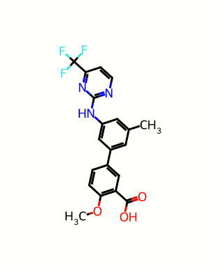 COc1ccc(-c2cc(C)cc(Nc3nccc(C(F)(F)F)n3)c2)cc1C(=O)O